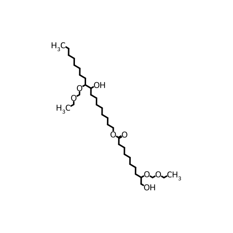 CCCCCCCCC(OCOCC)C(O)CCCCCCCCOC(=O)CCCCCCCC(CO)OCOCC